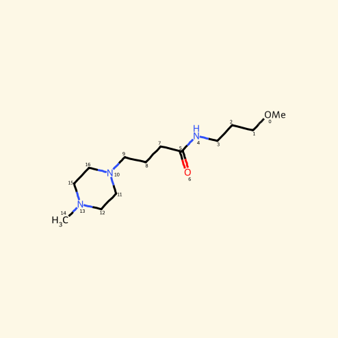 COCCCNC(=O)CCCN1CCN(C)CC1